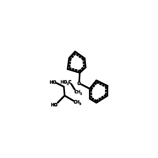 CC(=O)O.CC(O)CO.c1ccc(Oc2ccccc2)cc1